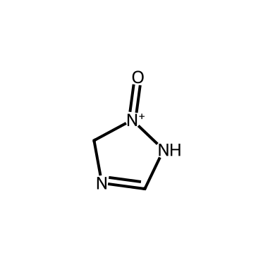 O=[N+]1CN=CN1